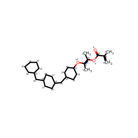 C=C(C)C(=O)O/C(C)=C(\C)OC1CCC(CC2CCC(CC3CCCCC3)CC2)CC1